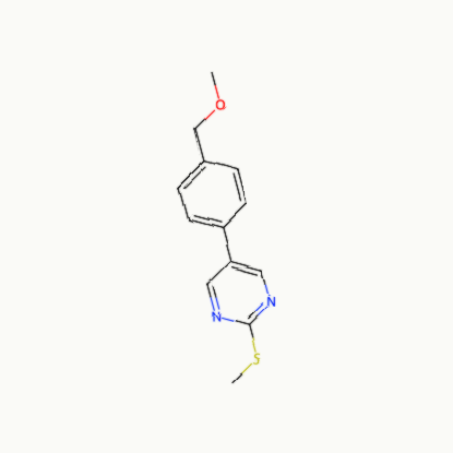 COCc1ccc(-c2cnc(SC)nc2)cc1